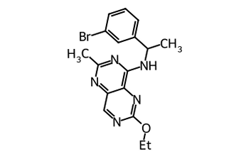 CCOc1ncc2nc(C)nc(NC(C)c3cccc(Br)c3)c2n1